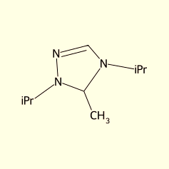 CC(C)N1C=NN(C(C)C)C1C